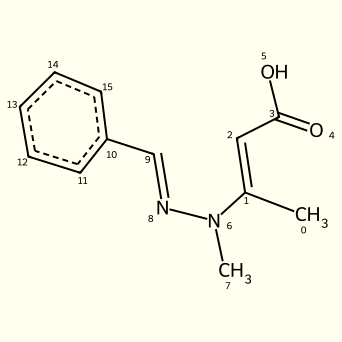 CC(=CC(=O)O)N(C)N=Cc1ccccc1